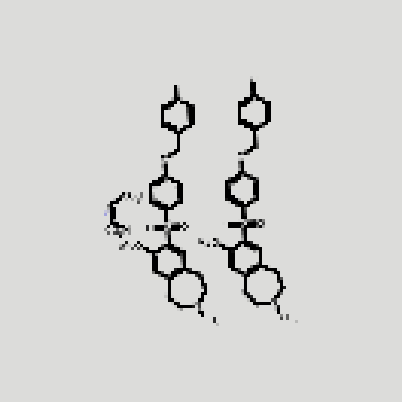 COc1cc2c(cc1S(=O)(=O)c1ccc(OCc3ccc(Cl)cc3)cc1)CCN(C)CC2.COc1cc2c(cc1S(=O)(=O)c1ccc(OCc3ccc(Cl)cc3)cc1)CCN(C)CC2.O=C(O)/C=C\C(=O)O